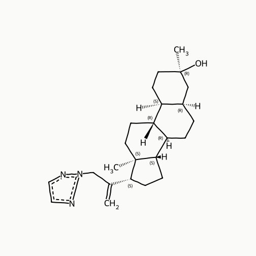 C=C(Cn1nccn1)[C@H]1CC[C@H]2[C@@H]3CC[C@@H]4C[C@](C)(O)CC[C@@H]4[C@H]3CC[C@]12C